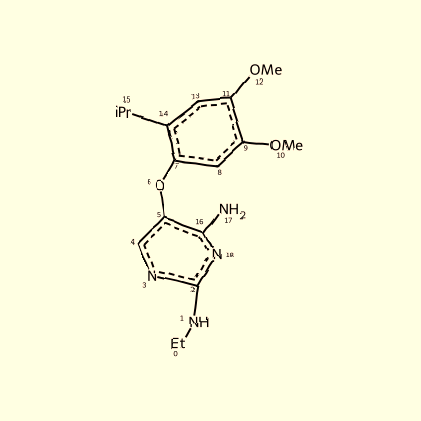 CCNc1ncc(Oc2cc(OC)c(OC)cc2C(C)C)c(N)n1